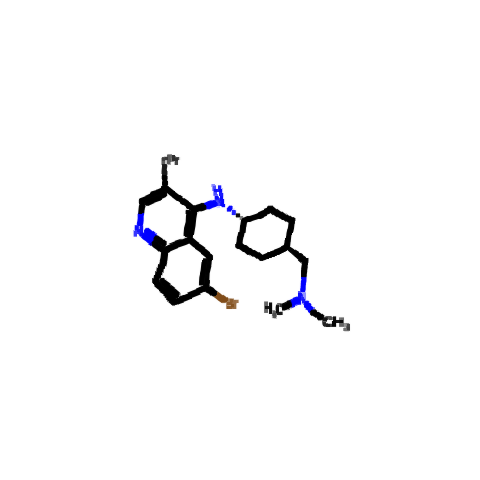 CCCc1cnc2ccc(Br)cc2c1N[C@H]1CC[C@H](CN(C)C)CC1